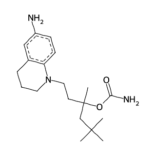 CC(C)(C)CC(C)(CCN1CCCc2cc(N)ccc21)OC(N)=O